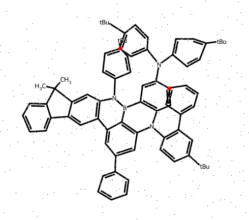 CC(C)(C)c1ccc(N2B3c4cc(N(c5ccc(C(C)(C)C)cc5)c5ccc(C(C)(C)C)cc5)ccc4N(c4ccc(C(C)(C)C)cc4-c4ccccc4)c4cc(-c5ccccc5)cc(c43)-c3cc4c(cc32)C(C)(C)c2ccccc2-4)cc1